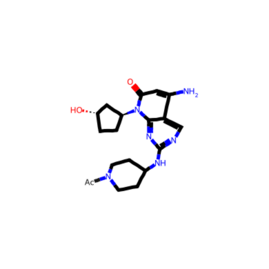 CC(=O)N1CCC(Nc2ncc3c(N)cc(=O)n([C@H]4CC[C@H](O)C4)c3n2)CC1